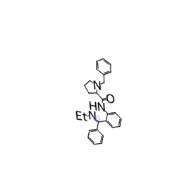 CC/N=C(\c1ccccc1)c1ccccc1NC(=O)C1CCCN1Cc1ccccc1